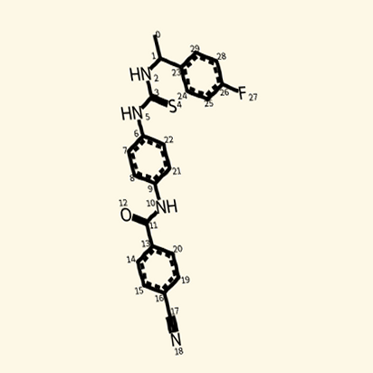 CC(NC(=S)Nc1ccc(NC(=O)c2ccc(C#N)cc2)cc1)c1ccc(F)cc1